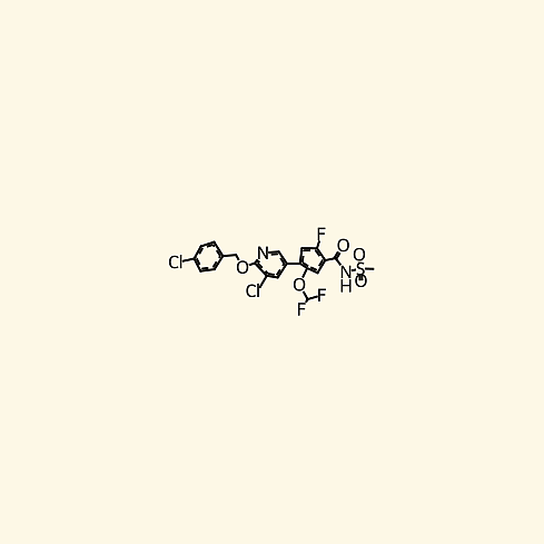 CS(=O)(=O)NC(=O)c1cc(OC(F)F)c(-c2cnc(OCc3ccc(Cl)cc3)c(Cl)c2)cc1F